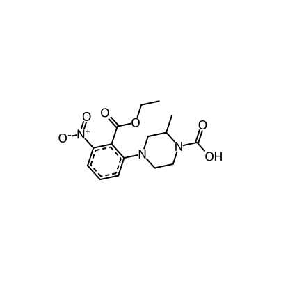 CCOC(=O)c1c(N2CCN(C(=O)O)C(C)C2)cccc1[N+](=O)[O-]